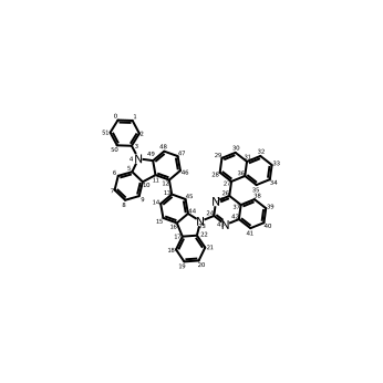 c1ccc(-n2c3ccccc3c3c(-c4ccc5c6ccccc6n(-c6nc(-c7cccc8ccccc78)c7ccccc7n6)c5c4)cccc32)cc1